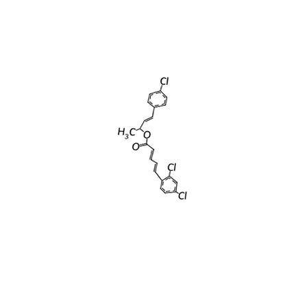 CC(C=Cc1ccc(Cl)cc1)OC(=O)C=CC=Cc1ccc(Cl)cc1Cl